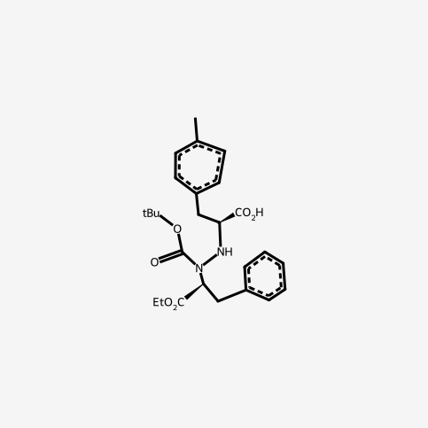 CCOC(=O)[C@H](Cc1ccccc1)N(N[C@@H](Cc1ccc(C)cc1)C(=O)O)C(=O)OC(C)(C)C